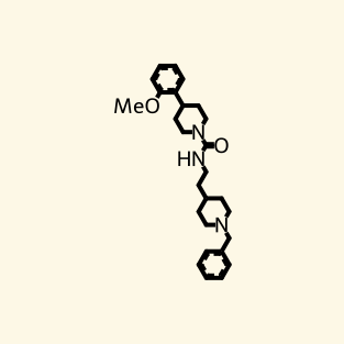 COc1ccccc1C1CCN(C(=O)NCCC2CCN(Cc3ccccc3)CC2)CC1